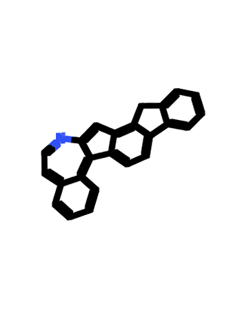 c1ccc2c(c1)Cc1c-2ccc2c3c4ccccc4ccnc-3cc12